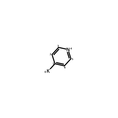 [K][c]1ccncc1